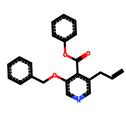 C=CCc1cncc(OCc2ccccc2)c1C(=O)Oc1ccccc1